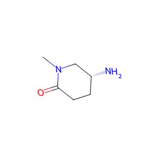 CN1C[C@H](N)CCC1=O